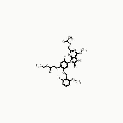 CCOC(=O)COc1cc(Cl)c(-n2c(=O)[nH]c3c(OC)nc(COC(C)=O)nc32)cc1OCc1c(F)cccc1OC